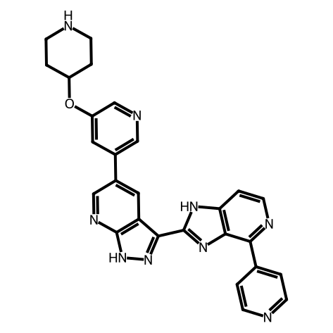 c1cc(-c2nccc3[nH]c(-c4n[nH]c5ncc(-c6cncc(OC7CCNCC7)c6)cc45)nc23)ccn1